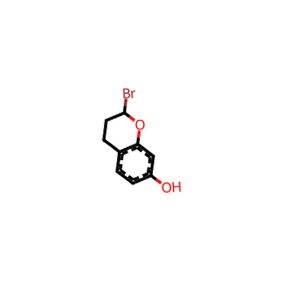 Oc1ccc2c(c1)OC(Br)CC2